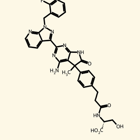 CC1(c2ccc(CCC(=O)N[C@H](CO)C(=O)O)cc2)C(=O)Nc2nc(-c3nn(Cc4ccccc4F)c4ncccc34)nc(N)c21